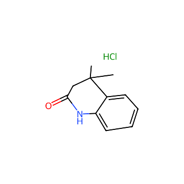 CC1(C)CC(=O)Nc2ccccc21.Cl